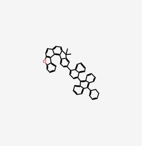 CC1(C)c2cc(-c3ccc(-c4c5ccccc5c(C5=CC=CCC5)c5ccccc45)c4ccccc34)ccc2-c2c1ccc1ccc3oc4ccccc4c3c21